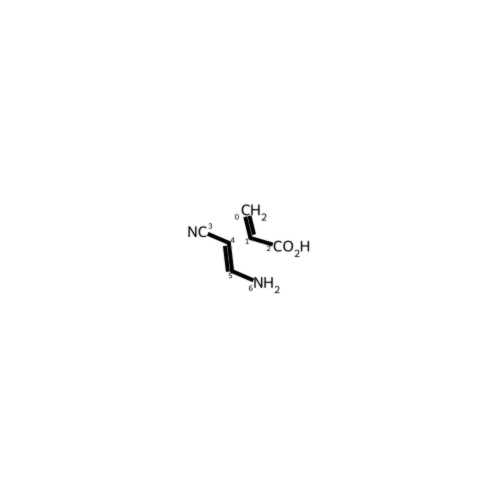 C=CC(=O)O.N#C/C=C/N